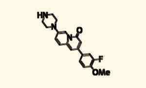 COc1ccc(-c2cc(=O)n3cc(N4CCNCC4)ccc3c2)cc1F